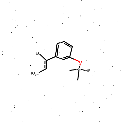 CCC(=CC(=O)O)c1cccc(O[Si](C)(C)C(C)(C)C)c1